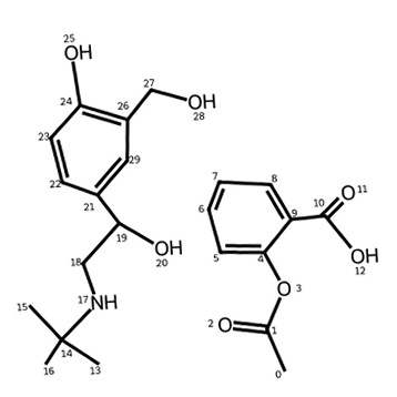 CC(=O)Oc1ccccc1C(=O)O.CC(C)(C)NCC(O)c1ccc(O)c(CO)c1